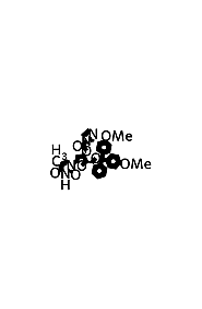 COc1ccc(C(OC[C@H]2O[C@@H](n3cc(C)c(=O)[nH]c3=O)C[C@@H]2OC(=O)n2ccnc2)(c2ccccc2)c2ccc(OC)cc2)cc1